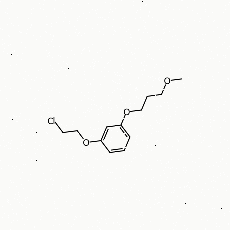 COCCCOc1cccc(OCCCl)c1